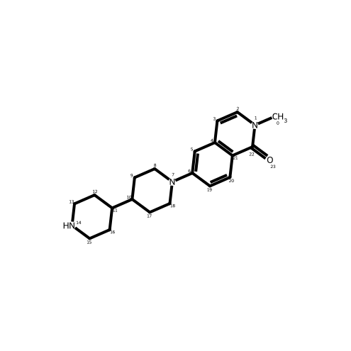 Cn1ccc2cc(N3CCC(C4CCNCC4)CC3)ccc2c1=O